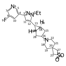 CCn1nc(-c2cncc(F)c2)cc1C1[C@H]2CC(N3CCC4(CC3)CS(=O)(=O)C4)C[C@@H]12